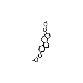 COCOc1ccc2c(c1)CCC1C2CCC2(C)C(OCOC)C=CC12